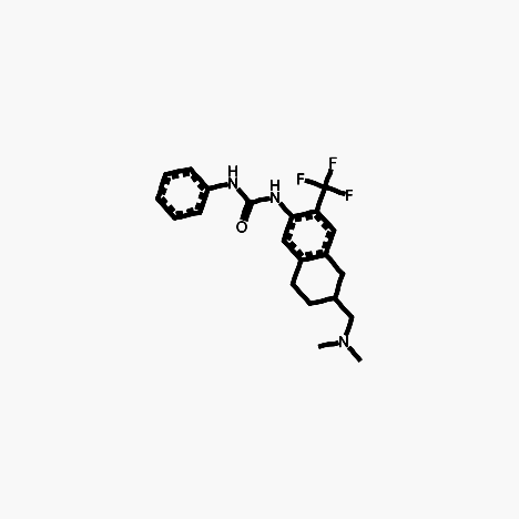 CN(C)CC1CCc2cc(NC(=O)Nc3ccccc3)c(C(F)(F)F)cc2C1